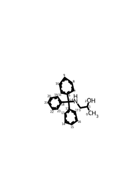 CC(O)CNC(c1ccccc1)(c1ccccc1)c1ccccc1